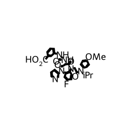 COc1ccc(N(C(=O)CN2C(=O)C(NC(=O)Nc3cccc(C(=O)O)c3)C(=O)N(c3cccnc3)c3cc(F)ccc32)C(C)C)cc1